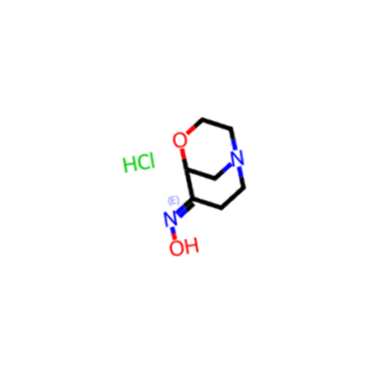 Cl.O/N=C1\CCN2CCOC1C2